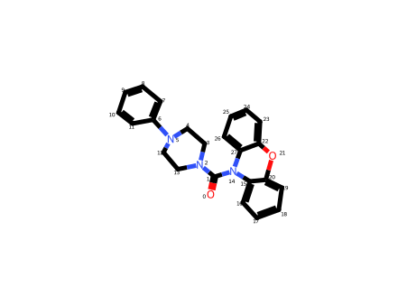 O=C(N1CCN(c2ccccc2)CC1)N1c2ccccc2Oc2ccccc21